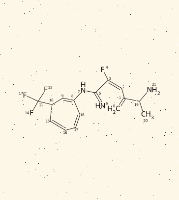 C=C(/C=C(/F)C(=N)NC1=CC(C(F)(F)F)C=CC=C1)C(C)N